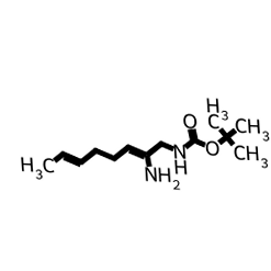 CC=CCCC=C(N)CNC(=O)OC(C)(C)C